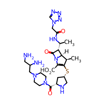 CC(NC(=O)Cn1cnnn1)[C@H]1C(=O)N2C(C(=O)O)=C(S[C@@H]3CN[C@H](C(=O)N4CCN(CC(N)CN)CC4)C3)[C@H](C)[C@H]12